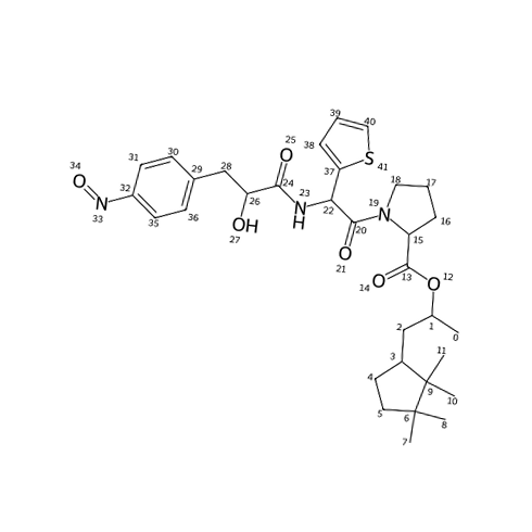 CC(CC1CCC(C)(C)C1(C)C)OC(=O)C1CCCN1C(=O)C(NC(=O)C(O)Cc1ccc(N=O)cc1)c1cccs1